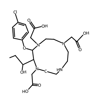 CCC(O)C1C(Oc2ccc(Cl)cc2)N(CC(=O)O)CCN(CC(=O)O)CCNCCN1CC(=O)O